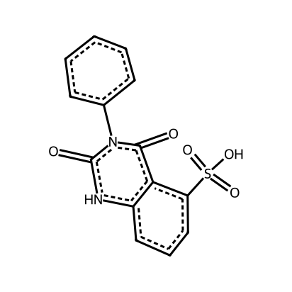 O=c1[nH]c2cccc(S(=O)(=O)O)c2c(=O)n1-c1ccccc1